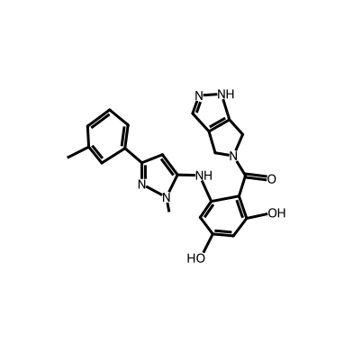 Cc1cccc(-c2cc(Nc3cc(O)cc(O)c3C(=O)N3Cc4cn[nH]c4C3)n(C)n2)c1